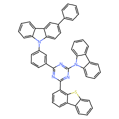 c1ccc(-c2ccc3c(c2)c2ccccc2n3-c2cccc(-c3nc(-c4cccc5c4sc4ccccc45)nc(-n4c5ccccc5c5ccccc54)n3)c2)cc1